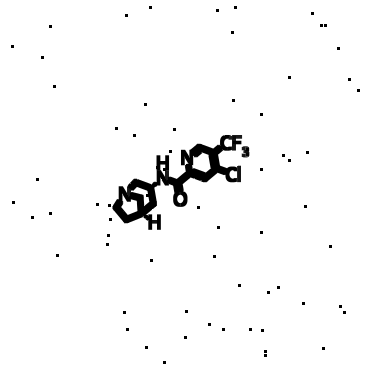 O=C(N[C@@H]1C[C@H]2CCN(C2)C1)c1cc(Cl)c(C(F)(F)F)cn1